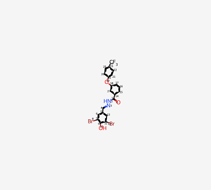 O=C(NN=Cc1cc(Br)c(O)c(Br)c1)c1cccc(Oc2ccc(C(F)(F)F)cc2)c1